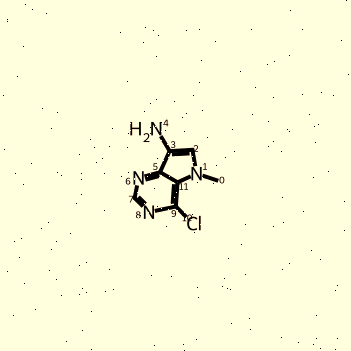 Cn1cc(N)c2ncnc(Cl)c21